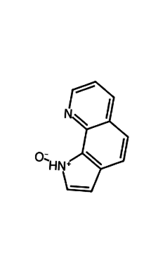 [O-][NH+]1C=Cc2ccc3cccnc3c21